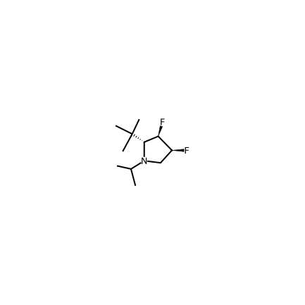 CC(C)N1C[C@H](F)[C@H](F)[C@H]1C(C)(C)C